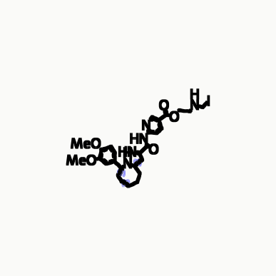 COc1ccc(/C2=C/C=C\CC/C(=C/C(=N)C(=O)Nc3ccc(C(=O)OCCNCI)cn3)N2)cc1OC